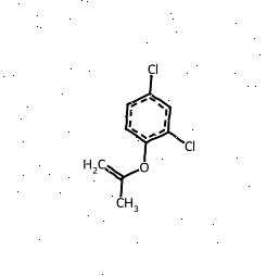 C=C(C)Oc1ccc(Cl)cc1Cl